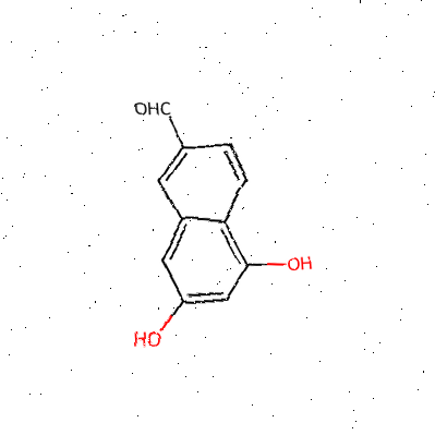 O=Cc1ccc2c(O)cc(O)cc2c1